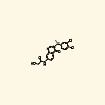 C[C@H](c1ccc(Cl)c(Cl)c1)n1cnc2cc(NC(=O)CO)ccc2c1=O